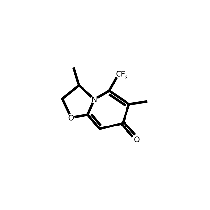 Cc1c(C(F)(F)F)n2c(cc1=O)OCC2C